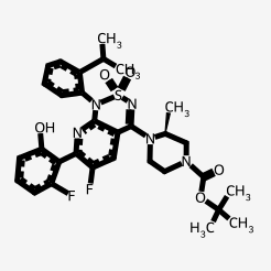 CC(C)c1ccccc1N1c2nc(-c3c(O)cccc3F)c(F)cc2C(N2CCN(C(=O)OC(C)(C)C)C[C@@H]2C)=NS1(=O)=O